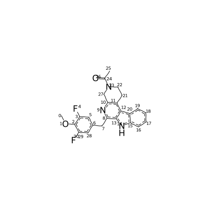 COc1c(F)cc(Cc2nc3c(c4c2[nH]c2ccccc24)CCN(C(C)=O)C3)cc1F